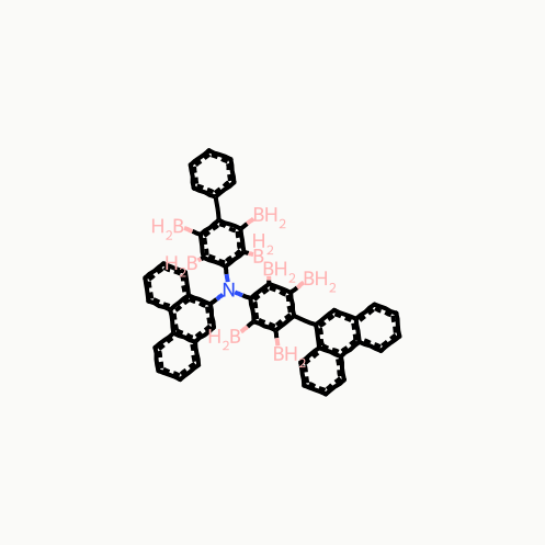 Bc1c(B)c(N(c2c(B)c(B)c(-c3cc4ccccc4c4ccccc34)c(B)c2B)c2cc3ccccc3c3ccccc23)c(B)c(B)c1-c1ccccc1